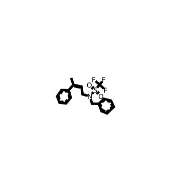 CC(=CCN(Cc1ccccc1)S(=O)(=O)C(F)(F)F)c1ccccc1